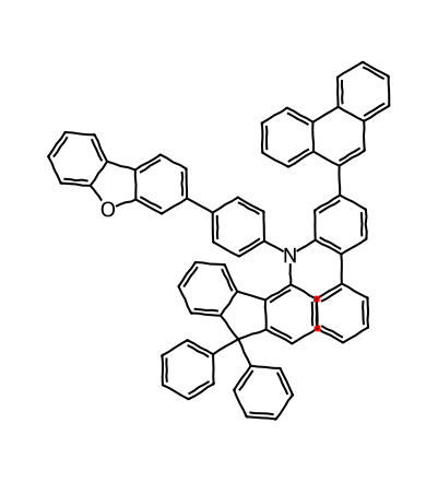 c1ccc(-c2ccc(-c3cc4ccccc4c4ccccc34)cc2N(c2ccc(-c3ccc4c(c3)oc3ccccc34)cc2)c2cccc3c2-c2ccccc2C3(c2ccccc2)c2ccccc2)cc1